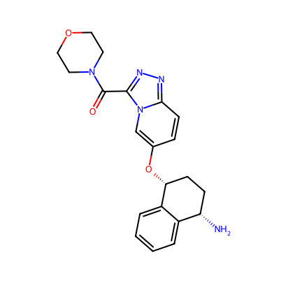 N[C@H]1CC[C@@H](Oc2ccc3nnc(C(=O)N4CCOCC4)n3c2)c2ccccc21